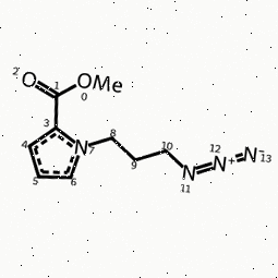 COC(=O)c1cccn1CCCN=[N+]=[N-]